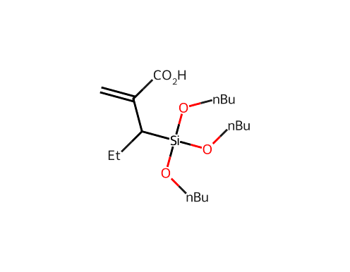 C=C(C(=O)O)C(CC)[Si](OCCCC)(OCCCC)OCCCC